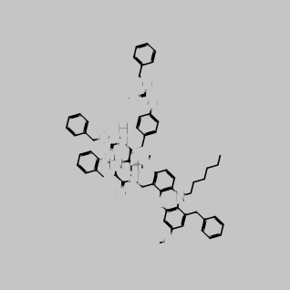 CCCCCCN1c2ccc(OC)c(CNC(=O)[C@H](Cc3ccccc3)NC(=O)[C@H](Cc3ccc(OC(=O)OCc4ccccc4)cc3)NC(=O)OCc3ccccc3)c2Sc2[c]c(OC)cc(Cc3ccccc3)c21